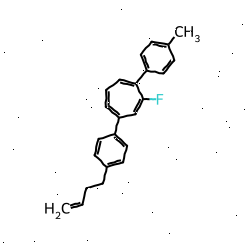 C=CCCc1ccc(C2=C=CC=C(c3ccc(C)cc3)C(F)=C2)cc1